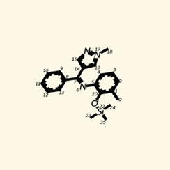 Cc1cccc(N=C(c2ccccc2)c2cnn(C)c2)c1O[Si](C)(C)C